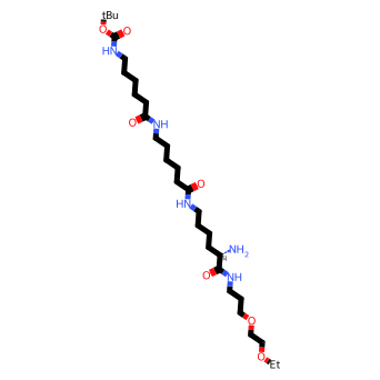 CCOCCOCCCNC(=O)[C@@H](N)CCCCNC(=O)CCCCCNC(=O)CCCCCNC(=O)OC(C)(C)C